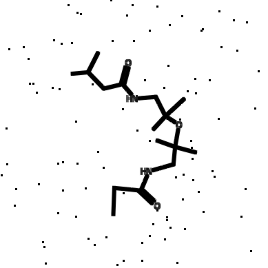 CCC(=O)NCC(C)(C)OC(C)(C)CNC(=O)CC(C)C